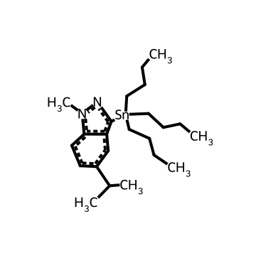 CCC[CH2][Sn]([CH2]CCC)([CH2]CCC)[c]1nn(C)c2ccc(C(C)C)cc12